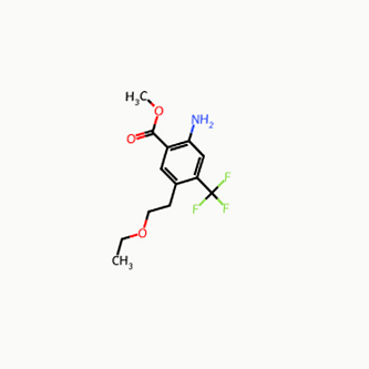 CCOCCc1cc(C(=O)OC)c(N)cc1C(F)(F)F